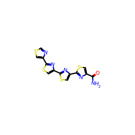 NC(=O)c1csc(-c2csc(-c3csc(-c4cscn4)n3)n2)n1